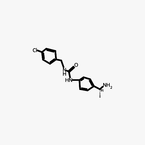 C[C@@H](N)c1ccc(NC(=O)NCc2ccc(Cl)cc2)cc1